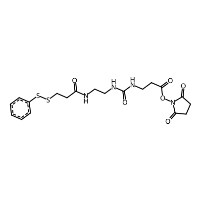 O=C(CCSSc1ccccc1)NCCNC(=O)NCCC(=O)ON1C(=O)CCC1=O